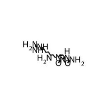 N=C(N)NCCCC[C@@H](N)CCn1ccc(NC(N)=O)nc1=O